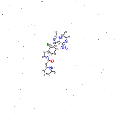 Cc1cccc(CC(=O)N2CCc3c2ccc(-c2nc(C)n4c(C)cnc(N)c24)c3F)n1